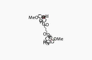 COc1ccc2c3c1O[C@H]1[C@@H](OC(=O)CCCCC(=O)O[C@H]4C=C[C@H]5[C@H]6Cc7ccc(OC)c8c7[C@@]5(CCN6C)[C@H]4O8)C=C[C@H]4[C@@H](C2)N(C)CC[C@@]341